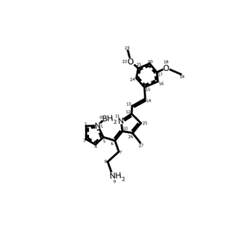 Bn1cccc1/C(CCN)=C1N=C(/C=C/c2cc(OC)cc(OC)c2)C=C\1C